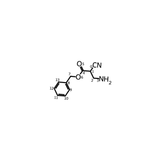 N#CC(CN)C(=O)OCc1ccccc1